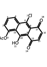 CC(=O)Oc1cccc2c(Cl)c3c(c(O)c12)C(=O)C=CC3=O